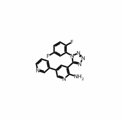 Nc1ncc(-c2cccnc2)cc1-c1nnnn1-c1cc(F)ccc1F